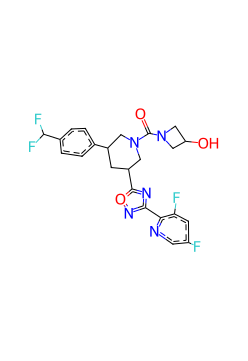 O=C(N1CC(O)C1)N1CC(c2ccc(C(F)F)cc2)CC(c2nc(-c3ncc(F)cc3F)no2)C1